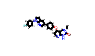 CCN1Cc2c(Oc3ccc(-c4cnc5c(ccn5-c5ccc(F)cc5)c4)cc3)ccnc2NC1=O